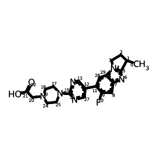 CC1CCn2c1nc1cc(F)c(-c3cnc(N4CCN(CC(=O)O)CC4)nc3)cc12